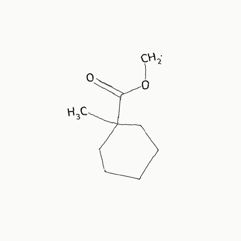 [CH2]OC(=O)C1(C)CCCCC1